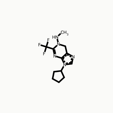 CNN1Cc2ncn(C3CCCC3)c2N=C1C(F)(F)F